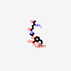 CC(=O)[C@H](N)CCC(=O)N1CC(Oc2ccc3c(c2C(=O)O)O[B-](O)(O)CC3)C1